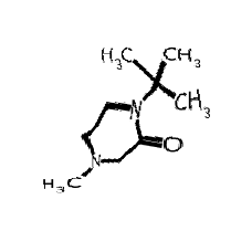 CN1CCN(C(C)(C)C)C(=O)C1